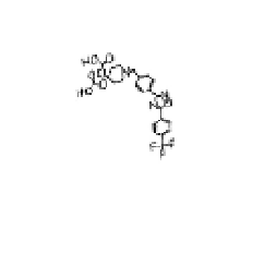 O=C(O)OC1(OC(=O)O)CCN(Cc2ccc(-c3noc(-c4ccc(C(F)(F)F)cc4)n3)cc2)CC1